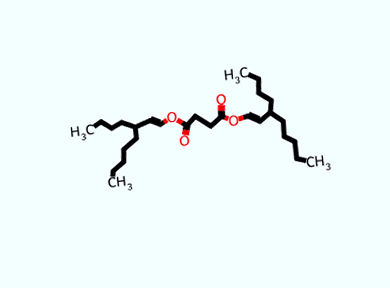 CCCCCC(C=COC(=O)CCC(=O)OC=CC(CCCC)CCCCC)CCCC